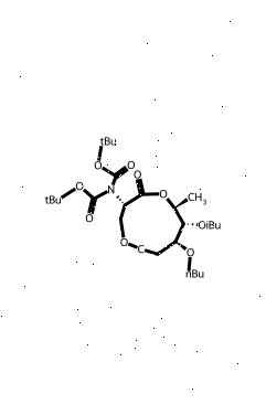 CCCCO[C@H]1CCOC[C@H](N(C(=O)OC(C)(C)C)C(=O)OC(C)(C)C)C(=O)O[C@@H](C)[C@@H]1OCC(C)C